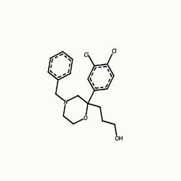 OCCCC1(c2ccc(Cl)c(Cl)c2)CN(Cc2ccccc2)CCO1